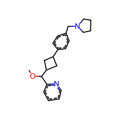 COC(c1ccccn1)C1CC(c2ccc(CN3CCCC3)cc2)C1